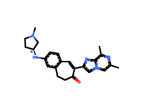 Cc1cn2cc(C3=Cc4ccc(N[C@@H]5CCN(C)C5)cc4CCC3=O)nc2c(C)n1